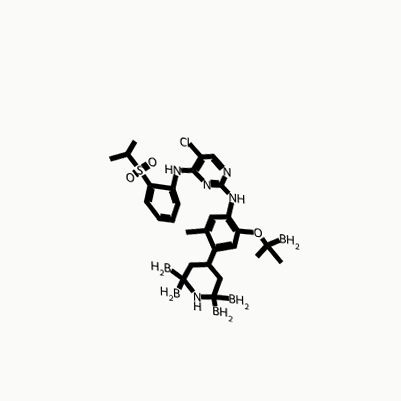 BC1(B)CC(c2cc(OC(B)(C)C)c(Nc3ncc(Cl)c(Nc4ccccc4S(=O)(=O)C(C)C)n3)cc2C)CC(B)(B)N1